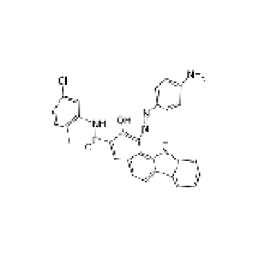 Cc1ccc(Cl)cc1NC(=O)c1cc2ccc3c4ccccc4[nH]c3c2c(N=Nc2ccc(N)cc2)c1O